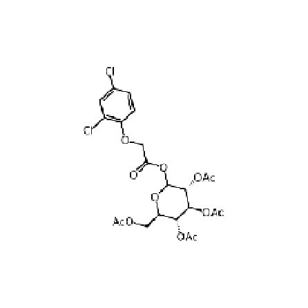 CC(=O)OC[C@H]1OC(OC(=O)COc2ccc(Cl)cc2Cl)[C@H](OC(C)=O)[C@@H](OC(C)=O)[C@@H]1OC(C)=O